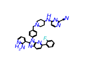 N#Cc1nccc(NC2CCN(Cc3ccc(-n4c(-c5cccnc5N)nc5ccc(-c6ccccc6F)nc54)cc3)CC2)n1